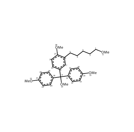 COCCCCCc1cc(C(OC)(c2ccc(OC)cc2)c2ccc(OC)cc2)ccc1OC